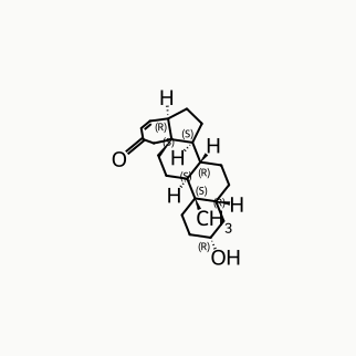 C[C@]12CC[C@@H](O)C[C@H]1CC[C@@H]1[C@@H]2CC[C@@]23CC(=O)C=C[C@H]2CC[C@@H]13